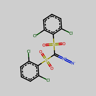 [N-]=[N+]=C(S(=O)(=O)c1c(Cl)cccc1Cl)S(=O)(=O)c1c(Cl)cccc1Cl